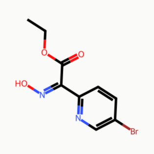 CCOC(=O)C(=NO)c1ccc(Br)cn1